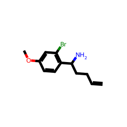 C=CCCC(N)c1ccc(OC)cc1Br